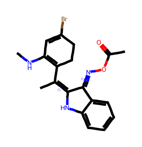 CNC1=C(/C(C)=C2/Nc3ccccc3/C2=N\OC(C)=O)CCC(Br)=C1